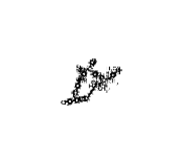 Cc1ncsc1-c1ccc([C@H](C)NC(=O)[C@@H]2C[C@@H](O)CN2C(=O)[C@@H](NC(=O)CCCCCCCN2CCN(CC3(C)CCC(c4ccc(Cl)cc4)=C(CN4CCN(c5ccc(C(=O)NS(=O)(=O)c6ccc(N[C@H](CCN7CCOCC7)CSc7ccccc7)c(S(=O)(=O)C(F)(F)F)c6)cc5)CC4)C3)CC2)C(C)(C)C)cc1